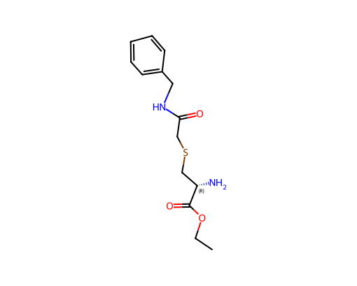 CCOC(=O)[C@@H](N)CSCC(=O)NCc1ccccc1